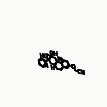 CC[C@@]12C[C@@](C)(O)[C@](O)(c3ccccn3)C[C@H]1CCc1cc(OCC#N)ccc12